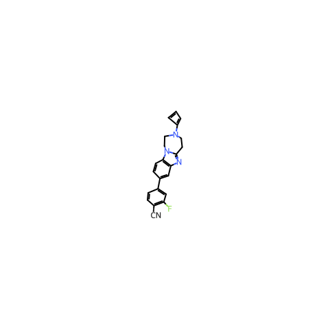 N#Cc1ccc(-c2ccc3c(c2)nc2n3CCN(C3=CC=C3)CC2)cc1F